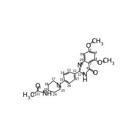 COc1cc(OC)c2c(=O)[nH]c(-c3ccc(N4CCC(NC(C)=O)CC4)cc3)nc2c1